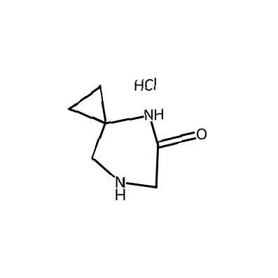 Cl.O=C1CNCC2(CC2)N1